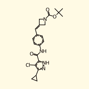 CC(C)(C)OC(=O)N1CC(=Cc2ccc(NC(=O)c3[nH]nc(C4CC4)c3Cl)cc2)C1